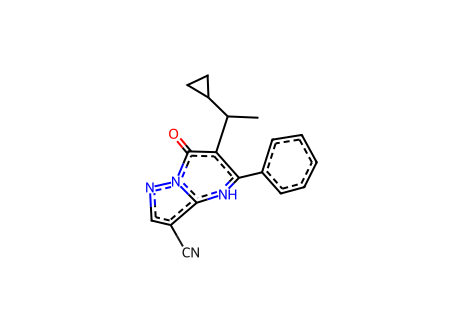 CC(c1c(-c2ccccc2)[nH]c2c(C#N)cnn2c1=O)C1CC1